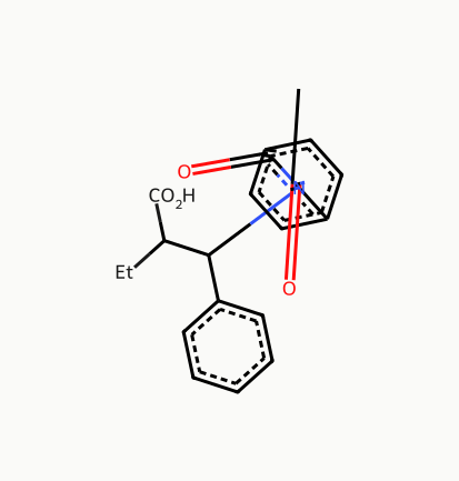 CCC(C(=O)O)C(c1ccccc1)n1c(=O)c2ccc(cc2)c1=O